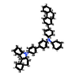 c1ccc(N(c2ccc(-c3ccc(-n4c5ccccc5c5c6ccccc6ccc54)cc3)cc2)c2ccc(-c3ccc4c(ccc5ccccc54)c3)cc2)cc1